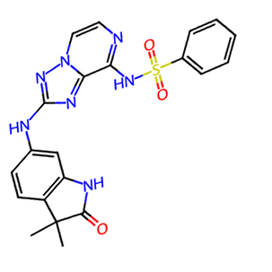 CC1(C)C(=O)Nc2cc(Nc3nc4c(NS(=O)(=O)c5ccccc5)nccn4n3)ccc21